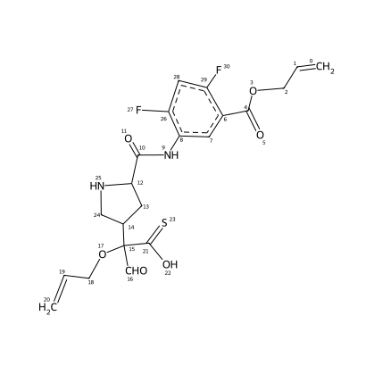 C=CCOC(=O)c1cc(NC(=O)C2CC(C(C=O)(OCC=C)C(O)=S)CN2)c(F)cc1F